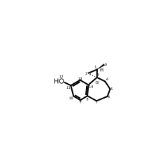 C[C@@H]1C[C@@]12CCCCc1ccc(O)cc12